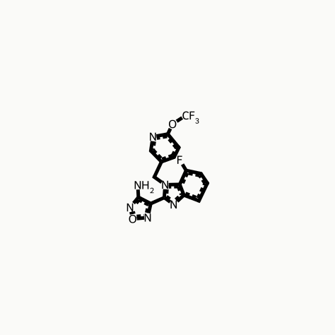 Nc1nonc1-c1nc2cccc(F)c2n1Cc1ccc(OC(F)(F)F)nc1